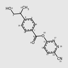 CC(CO)c1ccc(C(=O)Oc2ccc(C#N)nn2)cc1